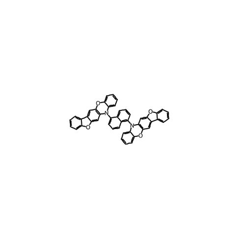 c1ccc2c(c1)Oc1cc3c(cc1N2c1cccc2c(N4c5ccccc5Oc5cc6c(cc54)oc4ccccc46)cccc12)oc1ccccc13